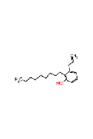 C=CCc1cccc(O)c1CCCCCCCCC